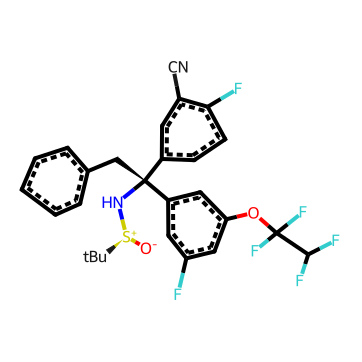 CC(C)(C)[S@+]([O-])N[C@@](Cc1ccccc1)(c1cc(F)cc(OC(F)(F)C(F)F)c1)c1ccc(F)c(C#N)c1